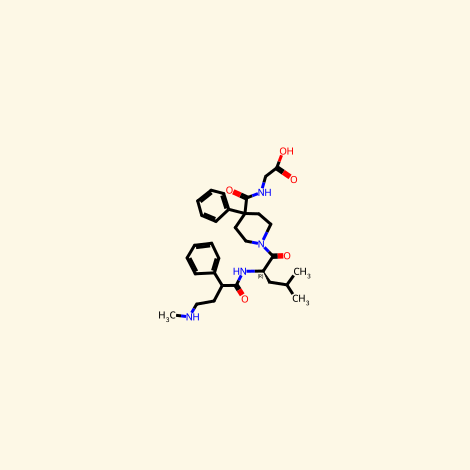 CNCCC(C(=O)N[C@H](CC(C)C)C(=O)N1CCC(C(=O)NCC(=O)O)(c2ccccc2)CC1)c1ccccc1